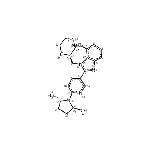 COc1cccc2nc(-c3ccc(N4[C@@H](C)CC[C@@H]4C)nc3)n(C[C@@H]3CNCCO3)c12